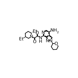 CC[C@H]1CC[C@H](CC)N(C(=O)C(=O)Nc2ncc(N)c3cn(C4CCCCO4)nc23)C1